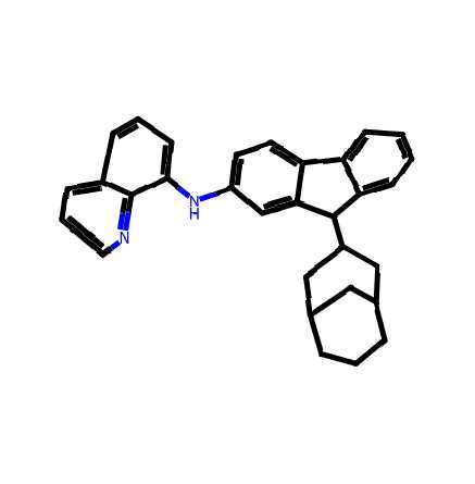 c1ccc2c(c1)-c1ccc(Nc3cccc4cccnc34)cc1C2C1CC2CCCC(C2)C1